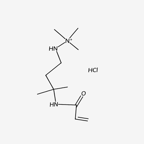 C=CC(=O)NC(C)(C)CCN[N+](C)(C)C.Cl